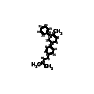 CC1=CCN(c2ccc(CCN(C)C)cc2)CN1c1ccccc1